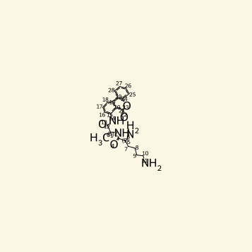 C[C@H](NC(=O)[C@@H](N)CCCCN)C(=O)Nc1cccc2c1c(=O)oc1ccccc12